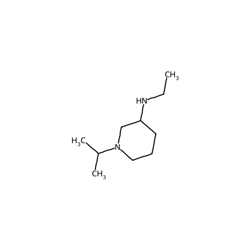 CCNC1CCCN(C(C)C)C1